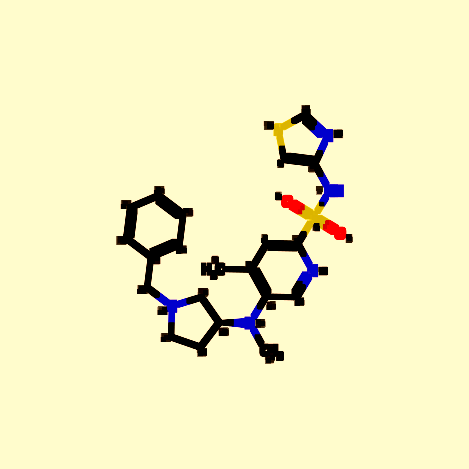 Cc1cc(S(=O)(=O)Nc2cscn2)ncc1N(C)[C@H]1CCN(Cc2ccccc2)C1